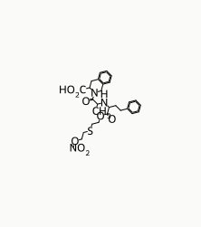 CC(NC(CCc1ccccc1)C(=O)OCCSCCO[N+](=O)[O-])C(=O)N1Cc2ccccc2CC1C(=O)O